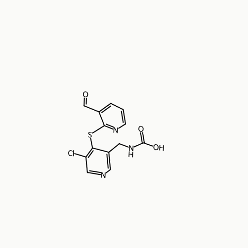 O=Cc1cccnc1Sc1c(Cl)cncc1CNC(=O)O